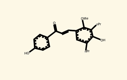 CCCc1cc(/C=C/C(=O)c2ccc(O)cc2)c(OC)c(CCC)c1O